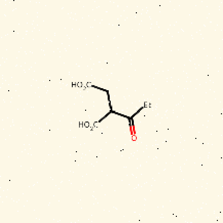 CCC(=O)C(CC(=O)O)C(=O)O